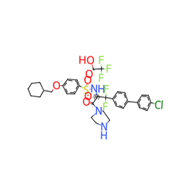 O=C(O)C(F)(F)F.O=C([C@@H](NS(=O)(=O)c1ccc(OCC2CCCCC2)cc1)C(F)(F)c1ccc(-c2ccc(Cl)cc2)cc1)N1CCNCC1